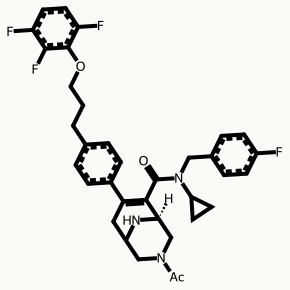 CC(=O)N1CC2CC(c3ccc(CCCOc4c(F)ccc(F)c4F)cc3)=C(C(=O)N(Cc3ccc(F)cc3)C3CC3)[C@@H](C1)N2